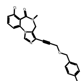 COc1ccc(COCC#Cc2ncn3c2CN(C)C(=O)c2c(Cl)cccc2-3)cc1